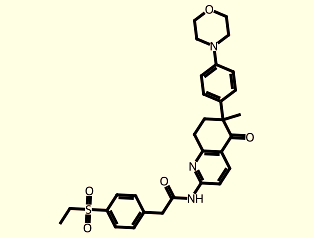 CCS(=O)(=O)c1ccc(CC(=O)Nc2ccc3c(n2)CCC(C)(c2ccc(N4CCOCC4)cc2)C3=O)cc1